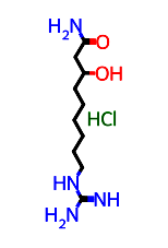 Cl.N=C(N)NCCCCCCC(O)CC(N)=O